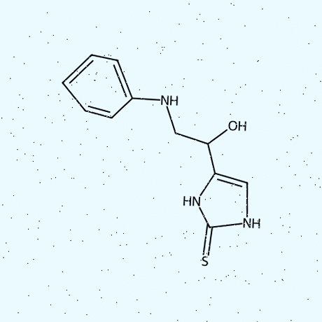 OC(CNc1ccccc1)c1c[nH]c(=S)[nH]1